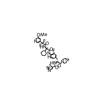 COc1cncc(C(F)(F)C(=O)N[C@@](C)(C(=O)Nc2ccc(C[C@@H](NC(=O)c3cnns3)C(=O)N3CCN(C)CC3)cc2F)C2CCCCC2)c1